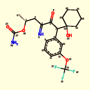 C[C@H](CC(=N)C(=O)C(c1cccc(OC(F)(F)F)c1)C1(O)CCCCC1)OC(N)=O